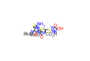 COC1(NC(=O)/C(=N\OCC(C)C)c2csc(N)n2)C(=O)N2C(C(=O)O)=C(CSc3nnc(O)c(=O)n3C)CS[C@@H]21